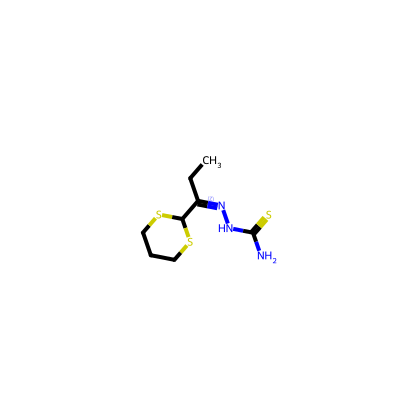 CC/C(=N/NC(N)=S)C1SCCCS1